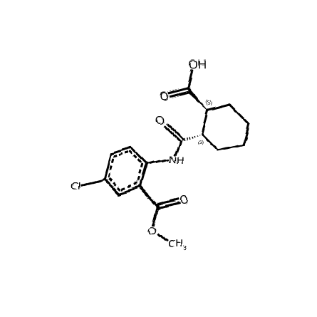 COC(=O)c1cc(Cl)ccc1NC(=O)[C@H]1CCCC[C@@H]1C(=O)O